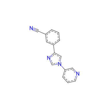 N#Cc1cccc(-c2cn(-c3cccnc3)cn2)c1